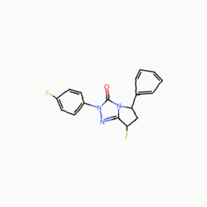 O=c1n(-c2ccc(F)cc2)nc2n1C(c1ccccc1)CC2F